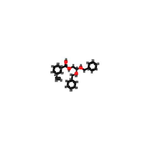 O=C(OCC(OCc1ccccc1)OCc1ccccc1)c1cccc([N+](=O)[O-])c1